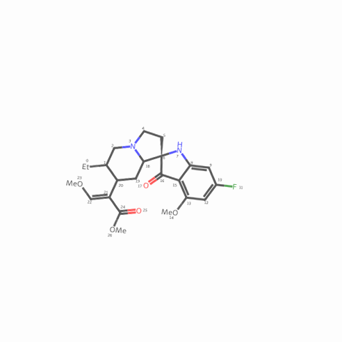 CCC1CN2CC[C@]3(Nc4cc(F)cc(OC)c4C3=O)C2CC1/C(=C\OC)C(=O)OC